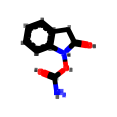 NC(=O)ON1C(=O)Cc2ccccc21